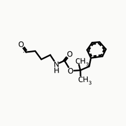 CC(C)(Cc1ccccc1)OC(=O)NCCC[C]=O